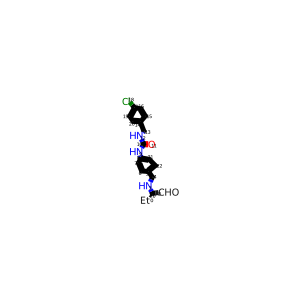 CC[C@H](C=O)NCc1ccc(NC(=O)NCc2ccc(Cl)cc2)cc1